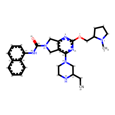 CN1CCCC1COc1nc2c(c(N3CCNC(CC#N)C3)n1)CN(C(=O)Nc1cccc3ccccc13)C2